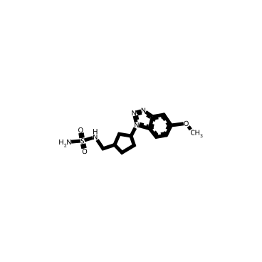 COc1ccc2c(c1)nnn2C1CCC(CNS(N)(=O)=O)C1